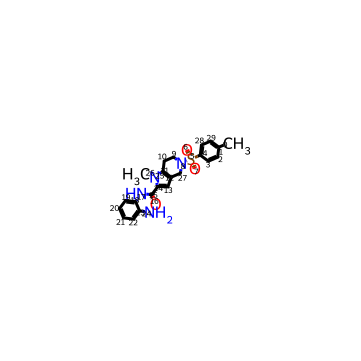 Cc1ccc(S(=O)(=O)N2CCc3c(cc(C(=O)Nc4ccccc4N)n3C)C2)cc1